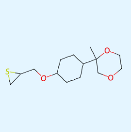 CC1(C2CCC(OCC3CS3)CC2)COCCO1